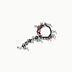 CO[C@H]1C[C@@H]2CC[C@@H](C)[C@@](O)(O2)C(=O)C(=O)N2CCCC[C@H]2C(=O)O[C@H]([C@H](N)C[C@@H]2CC[C@@H](OC(=O)NCc3cnc(N4CCN(c5ncc(C)c(N)n5)CC4)nc3)[C@H](OC)C2)C[C@@H](OC)[C@H](C)/C=C(\C)[C@@H](O)[C@@H](OC)C(=O)[C@H](C)C[C@H](C)/C=C/C=C/C=C/1C